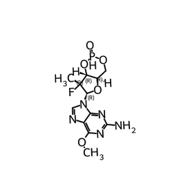 COc1nc(N)nc2c1ncn2[C@@H]1O[C@@H]2CO[PH](=O)O[C@H]2[C@@]1(C)F